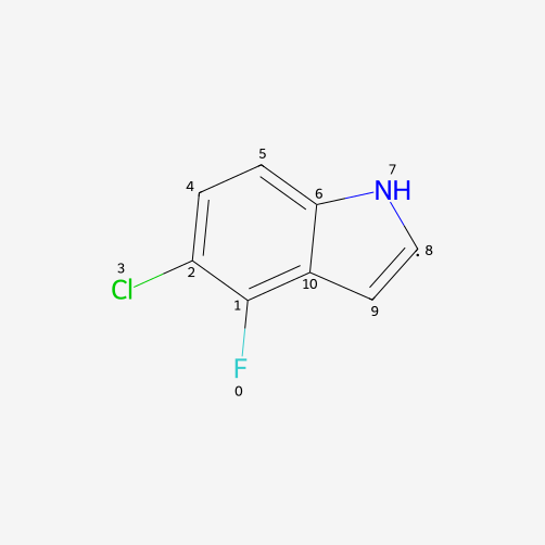 Fc1c(Cl)ccc2[nH][c]cc12